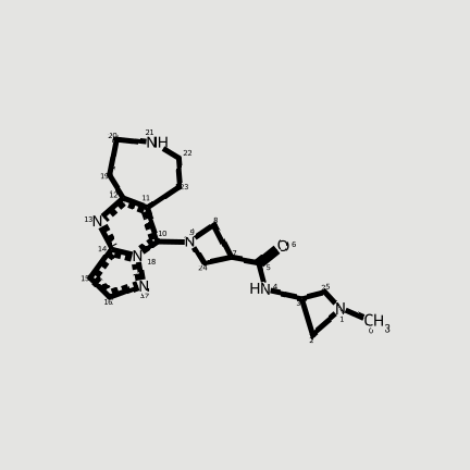 CN1CC(NC(=O)C2CN(c3c4c(nc5ccnn35)CCNCC4)C2)C1